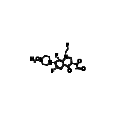 CN1CCN(c2c(F)cc3c(=O)c(C(=O)[C]=O)cn(CCF)c3c2F)CC1